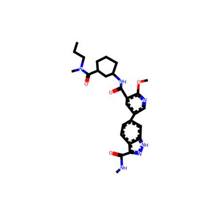 CCCN(C)C(=O)C1CCCC(NC(=O)c2cc(-c3ccc4c(C(=O)NC)n[nH]c4c3)cnc2OC)C1